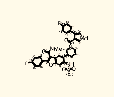 CCS(=O)(=O)Nc1cc2oc(-c3ccc(F)cc3)c(C(=O)NC)c2cc1C1CCCN(C(=O)c2c[nH]cc2-c2ccc(F)cc2)C1